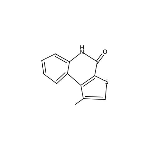 Cc1csc2c(=O)[nH]c3ccccc3c12